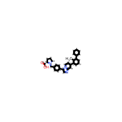 Cc1c(-c2ccccc2)cccc1-c1ccn2c(-c3ccc(CN4CCC[C@H]4C(=O)O)cc3)cnc2c1